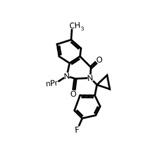 CCCn1c(=O)n(C2(c3ccc(F)cc3)CC2)c(=O)c2cc(C)ccc21